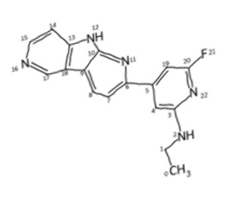 CCNc1cc(-c2ccc3c(n2)[nH]c2ccncc23)cc(F)n1